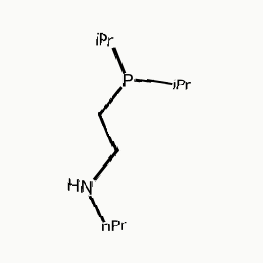 CCCNCCP(C(C)C)C(C)C